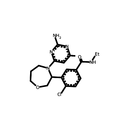 CCNC(=O)c1ccc(Cl)c(C2COCCCN2c2cc(C)nc(N)n2)c1